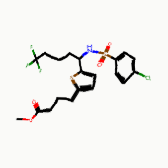 COC(=O)CCCc1ccc(C(CCCC(F)(F)F)NS(=O)(=O)c2ccc(Cl)cc2)s1